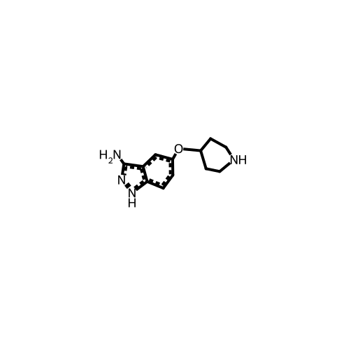 Nc1n[nH]c2ccc(OC3CCNCC3)cc12